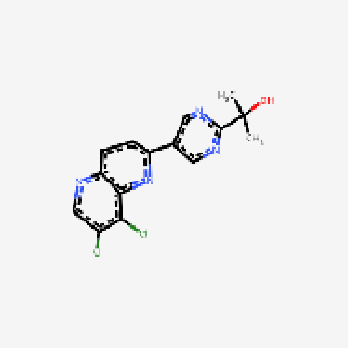 CC(C)(O)c1ncc(-c2ccc3ncc(Cl)c(Cl)c3n2)cn1